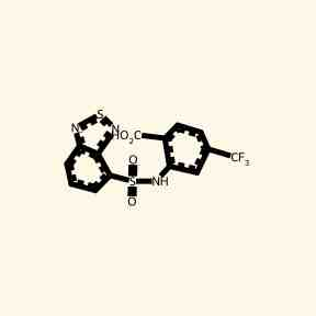 O=C(O)c1ccc(C(F)(F)F)cc1NS(=O)(=O)c1cccc2nsnc12